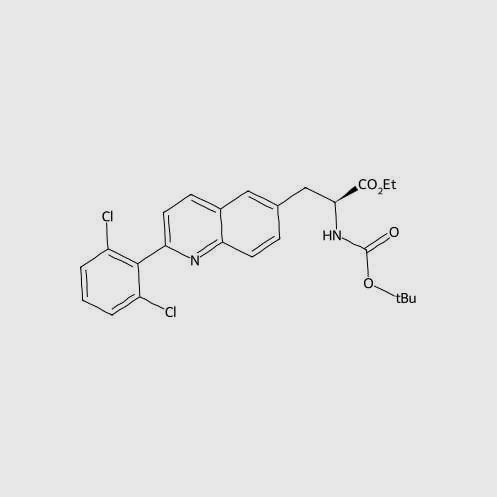 CCOC(=O)[C@H](Cc1ccc2nc(-c3c(Cl)cccc3Cl)ccc2c1)NC(=O)OC(C)(C)C